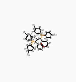 CCCC(C(c1ccccc1)P(c1ccc(C)cc1)c1ccc(C)cc1)C(c1ccccc1)P(c1ccc(C)cc1)c1ccc(C)cc1